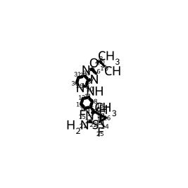 C#C[C@H](C)Oc1cnc2c(Nc3ccc(F)c([C@@]4(C)N=C(N)S[C@@]5(CF)C[C@H]54)c3)nccc2n1